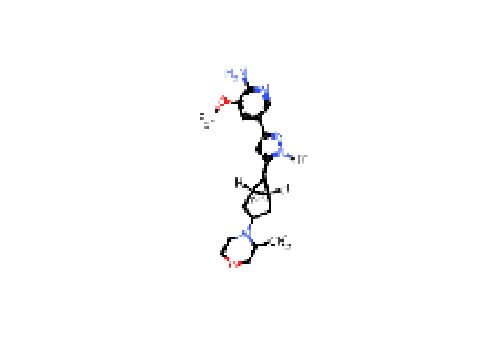 CC1COCCN1C1C[C@@H]2C(c3cc(-c4cnc(N)c(OC(F)(F)F)c4)nn3C(C)C)[C@@H]2C1